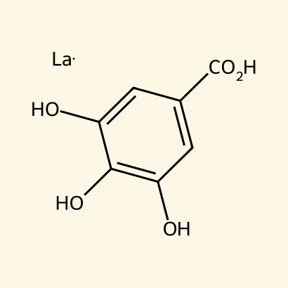 O=C(O)c1cc(O)c(O)c(O)c1.[La]